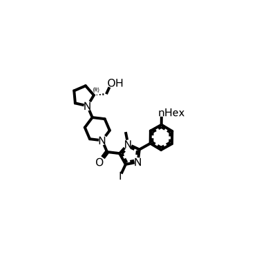 CCCCCCc1cccc(-c2nc(I)c(C(=O)N3CCC(N4CCC[C@@H]4CO)CC3)n2C)c1